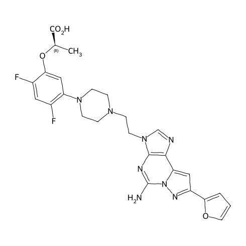 C[C@@H](Oc1cc(N2CCN(CCn3cnc4c3nc(N)n3nc(-c5ccco5)cc43)CC2)c(F)cc1F)C(=O)O